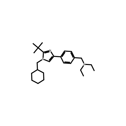 CCN(CC)Cc1ccc(-c2cn(CC3CCCCC3)c(C(C)(C)C)n2)cc1